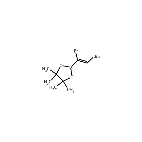 CC(C)(C)C=C(Br)B1OC(C)(C)C(C)(C)O1